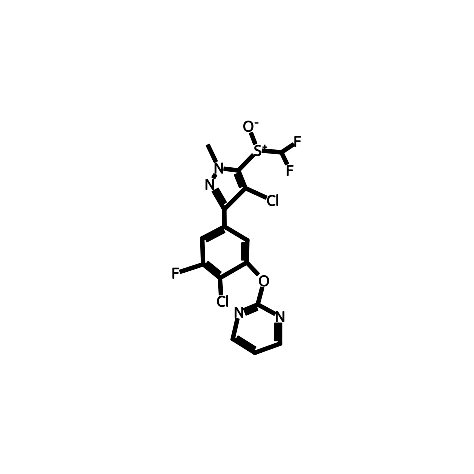 Cn1nc(-c2cc(F)c(Cl)c(Oc3ncccn3)c2)c(Cl)c1[S+]([O-])C(F)F